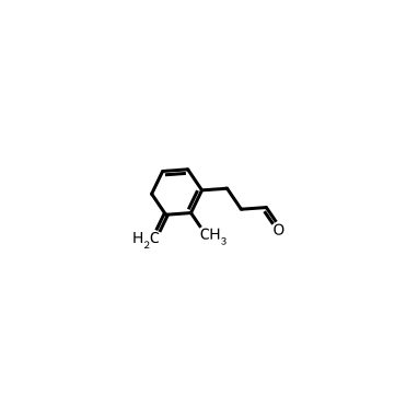 C=C1CC=CC(CCC=O)=C1C